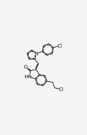 O=C1Nc2ccc(CCCl)cc2C1=Cc1cccn1-c1ccc(Cl)cc1